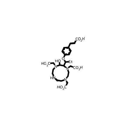 CCC(Oc1ccc(CCC(=O)O)cc1)C1C(O)N(CC(=O)O)CCNCCN(CC(=O)O)CCN1CC(=O)O